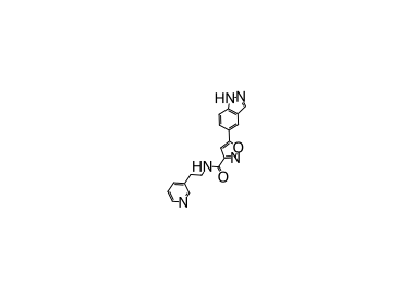 O=C(NCCc1cccnc1)c1cc(-c2ccc3[nH]ncc3c2)on1